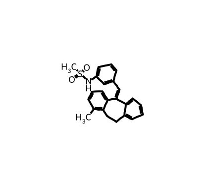 Cc1cccc2c1CCc1ccccc1/C2=C/c1cccc(NS(C)(=O)=O)c1